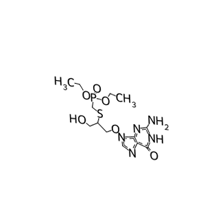 CCOP(=O)(CSC(CO)COn1cnc2c(=O)[nH]c(N)nc21)OCC